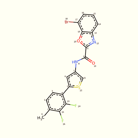 Cc1ccc(-c2cc(NC(=O)c3nc4cccc(Br)c4o3)cs2)c(F)c1F